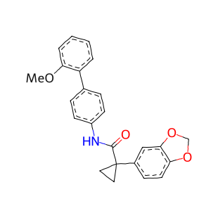 COc1ccccc1-c1ccc(NC(=O)C2(c3ccc4c(c3)OCO4)CC2)cc1